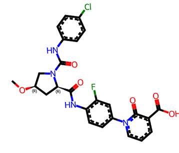 CO[C@@H]1C[C@H](C(=O)Nc2ccc(-n3cccc(C(=O)O)c3=O)cc2F)N(C(=O)Nc2ccc(Cl)cc2)C1